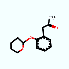 O=C(O)C(=O)Cc1ccccc1OC1CCCCO1